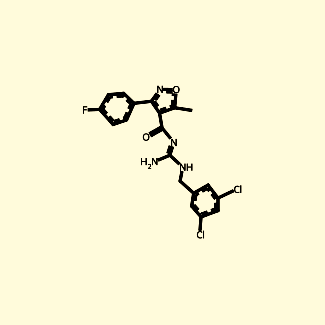 Cc1onc(-c2ccc(F)cc2)c1C(=O)/N=C(\N)NCc1cc(Cl)cc(Cl)c1